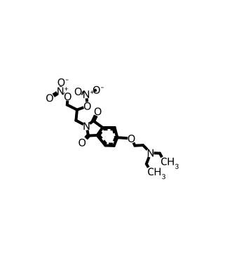 CCN(CC)CCOc1ccc2c(c1)C(=O)N(CC(CO[N+](=O)[O-])O[N+](=O)[O-])C2=O